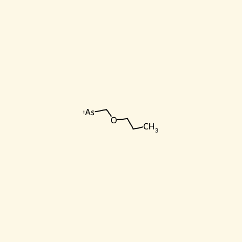 CCCOC[As]